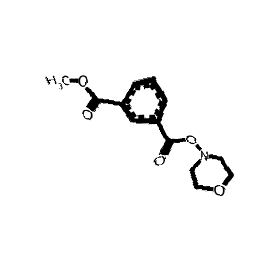 COC(=O)c1cccc(C(=O)ON2CCOCC2)c1